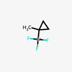 CC1([B-](F)(F)F)CC1